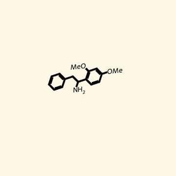 COc1ccc(C(N)Cc2ccccc2)c(OC)c1